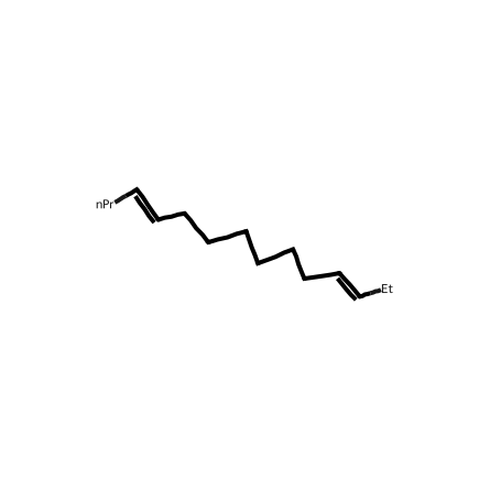 [CH2]CCC=CCCCCCCC=CCC